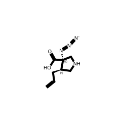 C=CC[C@@H]1CNC[C@]1(N=[N+]=[N-])C(=O)O